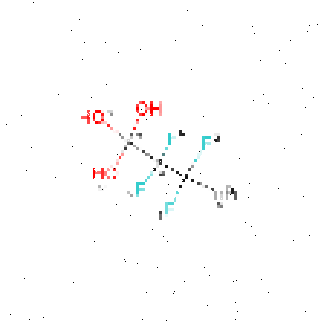 CCCC(F)(F)C(F)(F)C(O)(O)O